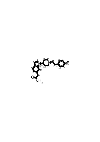 NC(=O)Cc1ccc2ccn(C3CCN(CCc4ccc(F)cc4)CC3)c2c1